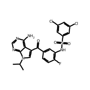 CC(C)n1cc(C(=O)c2ccc(F)c(NS(=O)(=O)c3cc(Cl)cc(Cl)c3)c2)c2c(N)ncnc21